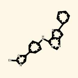 CCc1ncc(-c2ccc(Nc3ncnc4cc(-c5ccccc5)sc34)cc2)o1